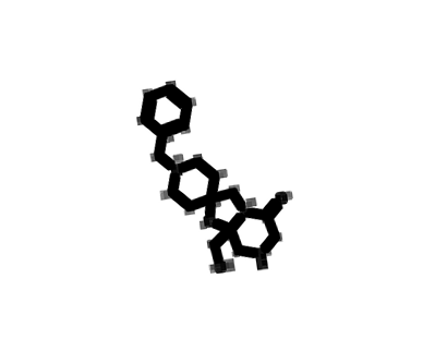 O=C1CNCC2(CO)OC3(CCN(Cc4ccccc4)CC3)CN12